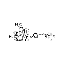 CO[C@@H]1C(OC(=O)CCc2ccc(OCCN(C)C)cc2)CC[C@]2(CO2)C1[C@@]1(C)O[C@@H]1CCC(C)C